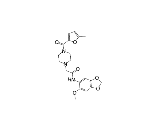 COc1cc2c(cc1NC(=O)CN1CCN(C(=O)c3ccc(C)o3)CC1)OCO2